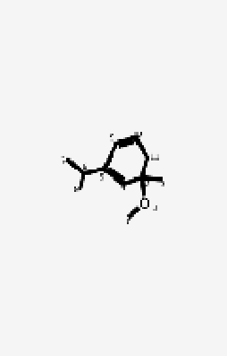 COC1(C)C=C(C(C)C)C=CC1